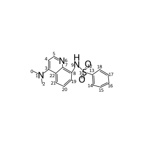 CN(C)c1ccnc2c(NS(=O)(=O)c3ccccc3)cccc12